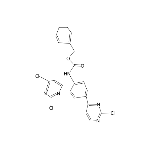 Clc1ccnc(Cl)n1.O=C(Nc1ccc(-c2ccnc(Cl)n2)cc1)OCc1ccccc1